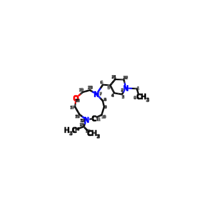 CCN1CCC(CN2CCCCN(C(C)C)CCOCC2)CC1